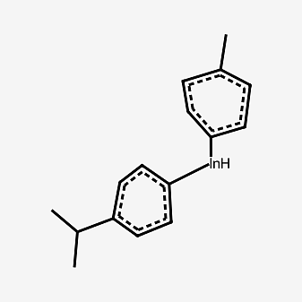 Cc1cc[c]([InH][c]2ccc(C(C)C)cc2)cc1